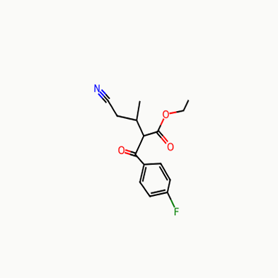 CCOC(=O)C(C(=O)c1ccc(F)cc1)C(C)CC#N